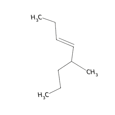 CCC=CC(C)CCC